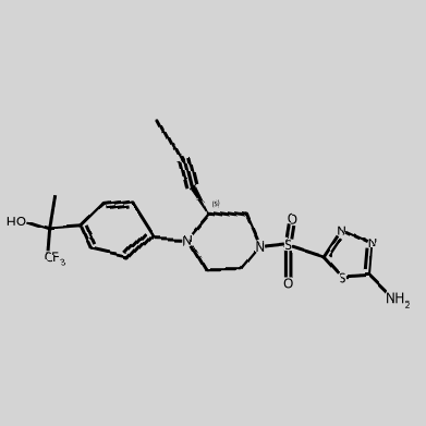 CC#C[C@H]1CN(S(=O)(=O)c2nnc(N)s2)CCN1c1ccc(C(C)(O)C(F)(F)F)cc1